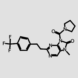 Cn1c(=O)n(C(=O)N2CCCC2)c2nc(CCc3ccc(C(F)(F)F)cc3)ncc21